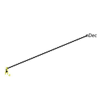 CCCCCCCCCCCCCCCCCCCCCCCCCCCCCCCCCCCCCCCCCCCCCCCCCCCCCCCCCCCCCCCCCCCCCCCCCCCCCCCCCCCCCCCCCCCCCCCC[SH4]CC1CC1